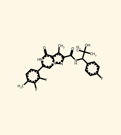 Cc1ccc(-c2cn3nc(C(=O)NC(c4ccc(F)cc4)C(C)(C)O)c(C)c3c(=O)[nH]2)c(F)c1F